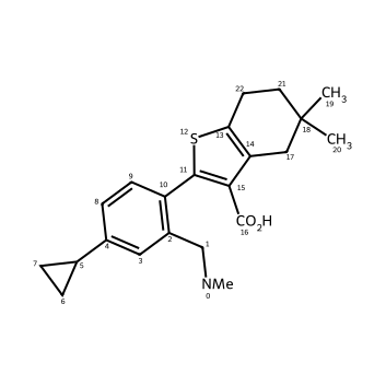 CNCc1cc(C2CC2)ccc1-c1sc2c(c1C(=O)O)CC(C)(C)CC2